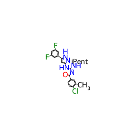 CCCC(C)N/C(=N/C(=O)c1ccc(Cl)c(C)c1)Nc1cc(-c2cc(F)cc(F)c2)[nH]n1